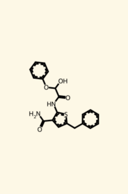 NC(=O)c1cc(Cc2ccccc2)sc1NC(=O)C(O)Oc1ccccc1